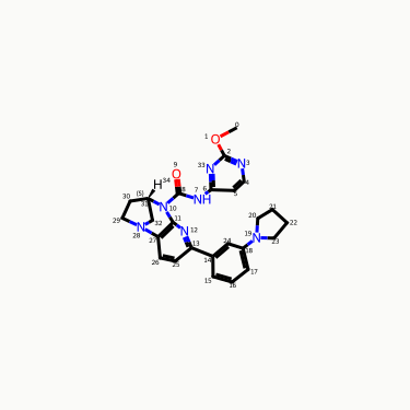 COc1nccc(NC(=O)N2c3nc(-c4cccc(N5CCCC5)c4)ccc3N3CC[C@H]2C3)n1